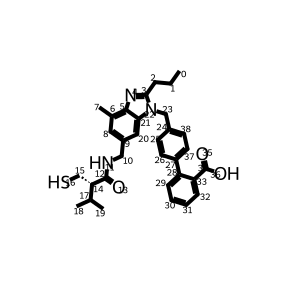 CCCc1nc2c(C)cc(CNC(=O)[C@@H](CS)C(C)C)cc2n1Cc1ccc(-c2ccccc2C(=O)O)cc1